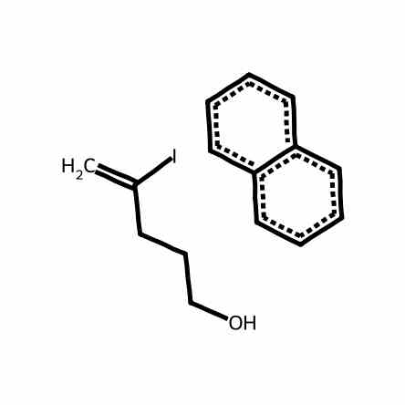 C=C(I)CCCO.c1ccc2ccccc2c1